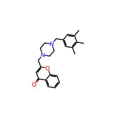 Cc1cc(CN2CCN(Cc3cc(=O)c4ccccc4o3)CC2)cc(C)c1C